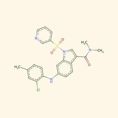 Cc1ccc(Nc2ccc3c(C(=O)N(C)C)cn(S(=O)(=O)c4cccnc4)c3c2)c(Cl)c1